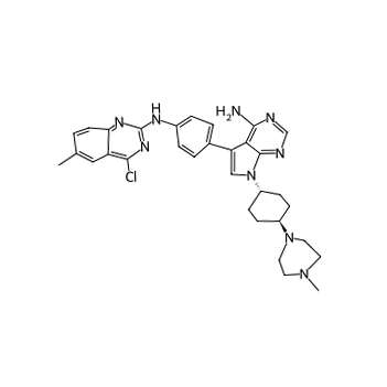 Cc1ccc2nc(Nc3ccc(-c4cn([C@H]5CC[C@H](N6CCN(C)CC6)CC5)c5ncnc(N)c45)cc3)nc(Cl)c2c1